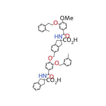 COc1ccc(C(=O)NC2(C(=O)O)Cc3ccc(COc4ccc(C(=O)NC5(C(=O)O)Cc6ccccc6C5)cc4OCc4cccc(C)c4)cc3C2)cc1OCCc1ccccc1C